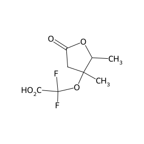 CC1OC(=O)CC1(C)OC(F)(F)C(=O)O